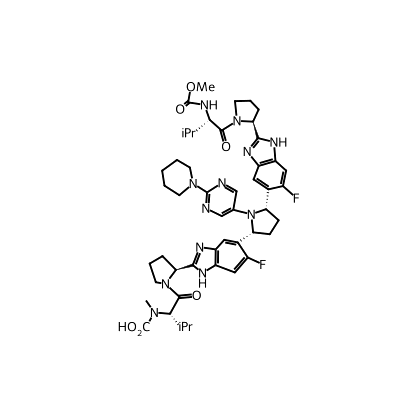 COC(=O)N[C@H](C(=O)N1CCC[C@H]1c1nc2cc([C@@H]3CC[C@H](c4cc5nc([C@@H]6CCCN6C(=O)[C@H](C(C)C)N(C)C(=O)O)[nH]c5cc4F)N3c3cnc(N4CCCCC4)nc3)c(F)cc2[nH]1)C(C)C